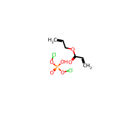 C=CCOC(=O)C=C.O=P(O)(OCl)OCl